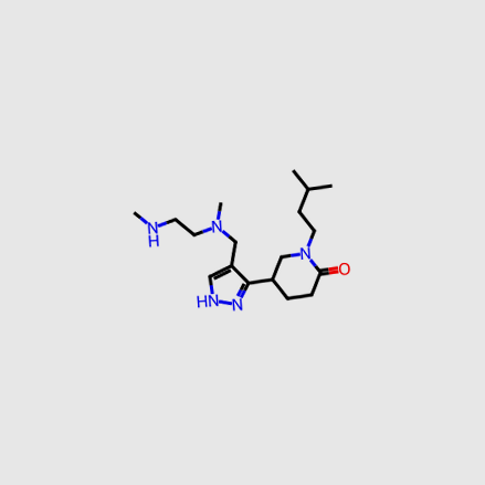 CNCCN(C)Cc1c[nH]nc1C1CCC(=O)N(CCC(C)C)C1